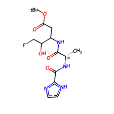 C[C@H](NC(=O)c1ncc[nH]1)C(=O)NC(CC(=O)OC(C)(C)C)C(O)CF